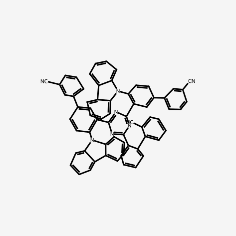 N#Cc1cccc(-c2ccc(-n3c4ccccc4c4ccccc43)c(-c3nc(-c4ccccc4-c4ccccc4C#N)nc(-c4cc(-c5cccc(C#N)c5)ccc4-n4c5ccccc5c5ccccc54)n3)c2)c1